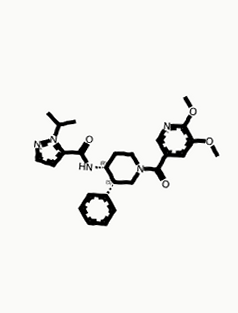 COc1cc(C(=O)N2CC[C@@H](NC(=O)c3ccnn3C(C)C)[C@@H](c3ccccc3)C2)cnc1OC